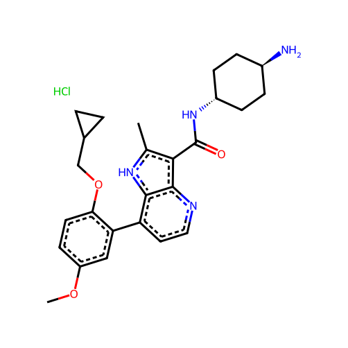 COc1ccc(OCC2CC2)c(-c2ccnc3c(C(=O)N[C@H]4CC[C@H](N)CC4)c(C)[nH]c23)c1.Cl